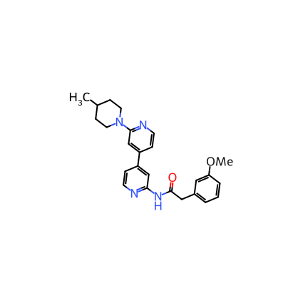 COc1cccc(CC(=O)Nc2cc(-c3ccnc(N4CCC(C)CC4)c3)ccn2)c1